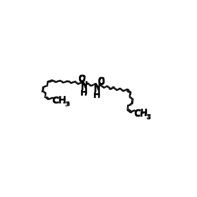 CC/C=C\C/C=C\C/C=C\CCCCCCCC(=O)NCCCNC(=O)CCCCCCC/C=C\C/C=C\C/C=C\CC